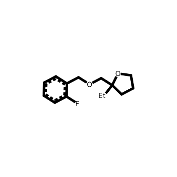 CCC1(COCc2ccccc2F)CCCO1